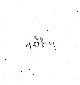 O=C(NCCO)c1c[c]c(C[SH](=O)=O)cc1[N+](=O)[O-]